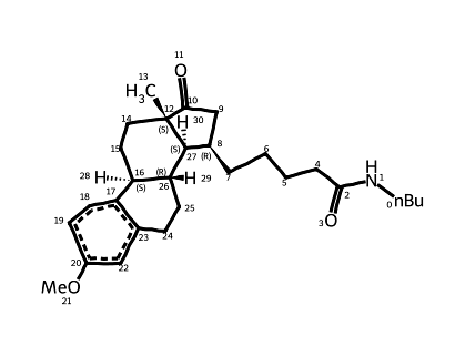 CCCCNC(=O)CCCC[C@@H]1CC(=O)[C@@]2(C)CC[C@@H]3c4ccc(OC)cc4CC[C@H]3[C@H]12